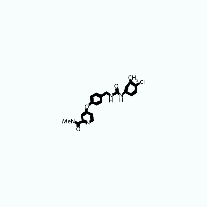 CNC(=O)c1cc(Oc2ccc(CNC(=O)Nc3ccc(Cl)c(C)c3)cc2)ccn1